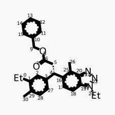 CCc1cc([C@H](CC(=O)OCc2ccccc2)c2ccc3c(nnn3CC)c2C)ccc1C